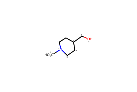 O=C(O)N1CCC(CO)CC1